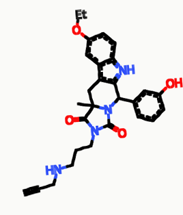 C#CCNCCCN1C(=O)N2C(c3cccc(O)c3)c3[nH]c4ccc(OCC)cc4c3CC2(C)C1=O